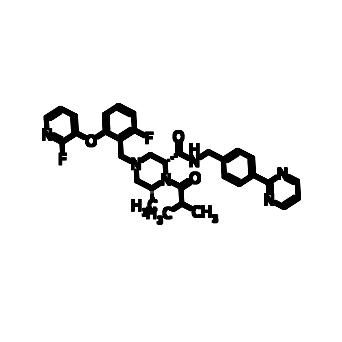 CC(C)C(=O)N1[C@H](C)CN(Cc2c(F)cccc2Oc2cccnc2F)C[C@@H]1C(=O)NCc1ccc(-c2ncccn2)cc1